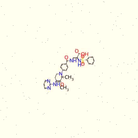 CO[C@@H]1[C@@H](Nc2ncccn2)CCN(c2ccc(C(=O)NC[C@H](NS(=O)(=O)c3ccccc3)C(=O)O)cc2)[C@@H]1C